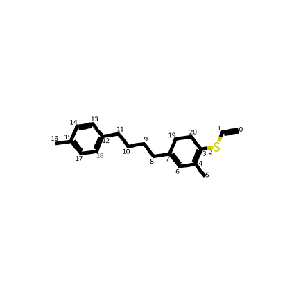 C=CSC1=C(C)C=C(CCCCc2ccc(C)cc2)CC1